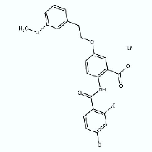 COc1cccc(CCOc2ccc(NC(=O)c3ccc(Cl)cc3Cl)c(C(=O)[O-])c2)c1.[Li+]